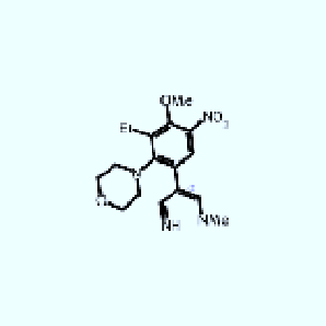 CCc1c(OC)c([N+](=O)[O-])cc(/C(C=N)=C/NC)c1N1CCOCC1